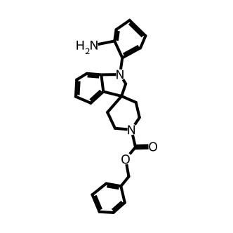 Nc1ccccc1N1CC2(CCN(C(=O)OCc3ccccc3)CC2)c2ccccc21